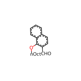 CCCCCCCCOc1c(C=O)ccc2ccccc12